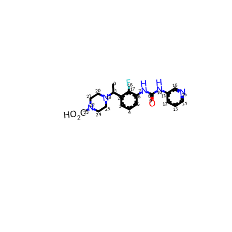 CC(c1cccc(NC(=O)Nc2cccnc2)c1F)N1CCN(C(=O)O)CC1